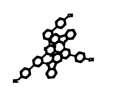 N#Cc1ccc(-c2cccc(-c3nc(-c4ccc(-c5ccc(C#N)cc5)cc4-n4c5ccccc5c5ccccc54)nc(-c4ccc(-c5ccc(C#N)cc5)cc4-n4c5ccccc5c5ccccc54)n3)c2)cc1